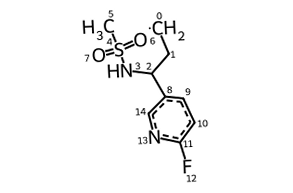 [CH2]CC(NS(C)(=O)=O)c1ccc(F)nc1